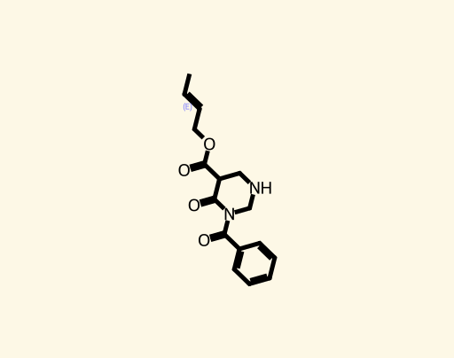 C/C=C/COC(=O)C1CNCN(C(=O)c2ccccc2)C1=O